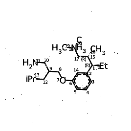 CC[C@@H](c1cccc(OCC(CN)CC(C)C)c1)[C@@H](C)CN(C)C